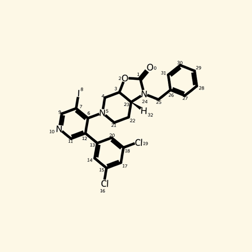 O=C1OC2CN(c3c(I)cncc3-c3cc(Cl)cc(Cl)c3)CC[C@H]2N1Cc1ccccc1